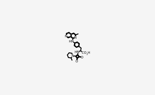 Cc1cc2ccncc2c(Nc2ccc(CC(Nc3c(N4CCCCC4C)c(=O)c3=O)C(=O)O)cc2)n1